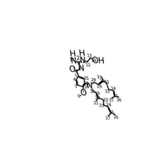 COc1ccc(C(=O)/N=C(\N)NCCO)cc1N(C/C=C(\C)CCC=C(C)C)C/C=C(\C)CCC=C(C)C